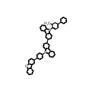 CC1CC(c2ccccc2)=CC=C1n1c2ccccc2c2cc(-c3ccc4c(c3)c3ccccc3n4-c3ccc(-c4ccc5oc6ccccc6c5c4)cc3)ccc21